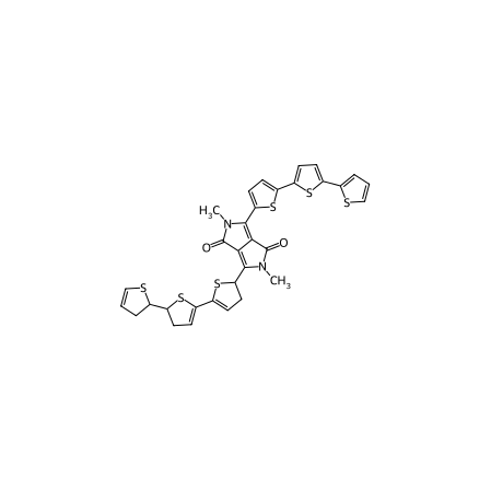 CN1C(=O)C2=C(C3CC=C(C4=CCC(C5CC=CS5)S4)S3)N(C)C(=O)C2=C1c1ccc(-c2ccc(-c3cccs3)s2)s1